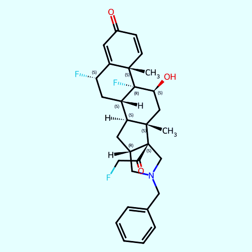 C[C@]12C=CC(=O)C=C1[C@@H](F)C[C@H]1[C@@H]3C[C@H]4CN(Cc5ccccc5)C[C@@]4(C(=O)CF)[C@@]3(C)C[C@H](O)[C@@]12F